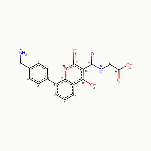 NCc1ccc(-c2cccc3c(O)c(C(=O)NCC(=O)O)c(=O)oc23)cc1